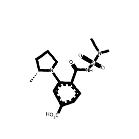 C[C@@H]1CCCN1c1cc(C(=O)O)ccc1C(=O)NS(=O)(=O)N(C)C